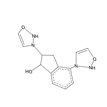 OC1c2cccc(N3C=CON3)c2CC1N1C=CON1